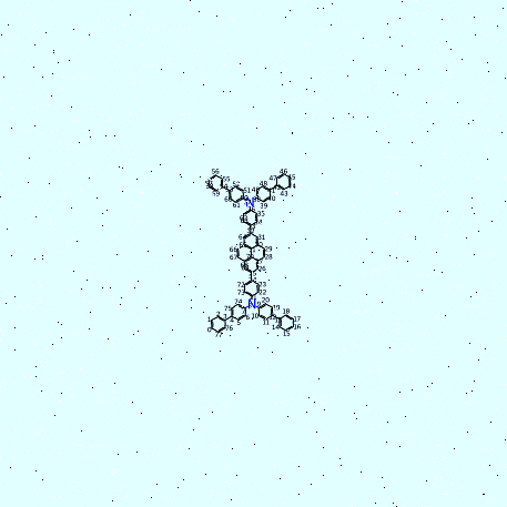 c1ccc(-c2ccc(N(c3ccc(-c4ccccc4)cc3)c3ccc(-c4cc5ccc6cc(-c7ccc(N(c8ccc(-c9ccccc9)cc8)c8ccc(-c9ccccc9)cc8)cc7)cc7ccc(c4)c5c67)cc3)cc2)cc1